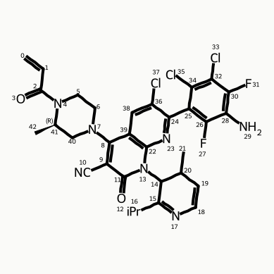 C=CC(=O)N1CCN(c2c(C#N)c(=O)n(C3C(C(C)C)=NC=CC3C)c3nc(-c4c(F)c(N)c(F)c(Cl)c4Cl)c(Cl)cc23)C[C@H]1C